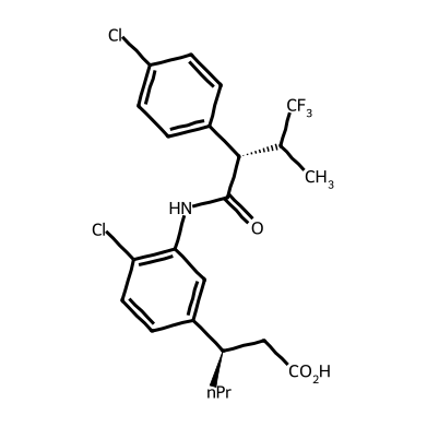 CCC[C@H](CC(=O)O)c1ccc(Cl)c(NC(=O)[C@H](c2ccc(Cl)cc2)C(C)C(F)(F)F)c1